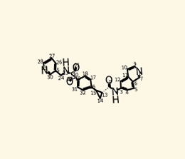 O=C(Nc1ccc2cnccc2c1)[C@@H]1CC1c1ccc(S(=O)(=O)NCc2cccnc2)cc1